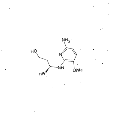 CCC[C@@H](CCO)Nc1nc(N)ccc1OC